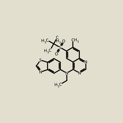 CCN(c1ccc2scnc2c1)c1ncnc2cc(C)c(S(=O)(=O)C(C)(C)C)cc12